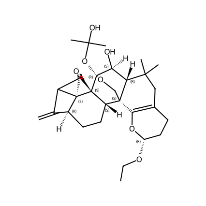 C=C1C2C(=O)[C@]34[C@H]2[C@H]1CC[C@H]3[C@@]12CO[C@]4(OC(C)(C)O)[C@@H](O)[C@@H]1C(C)(C)CC1=C2O[C@@H](OCC)CC1